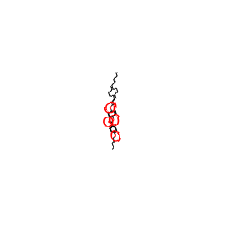 CCCCCOc1ccc(C(=O)Oc2ccc(OC/C=C/C3CCC(CCCCC)CC3)cc2)cc1